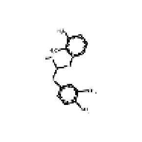 CCCC(Oc1ccc(N)c(C)c1)Oc1cccc(N)c1C